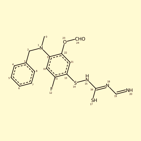 CN(Cc1ccccc1)c1cc(F)c(SN/C(S)=N/C=N)cc1OC=O